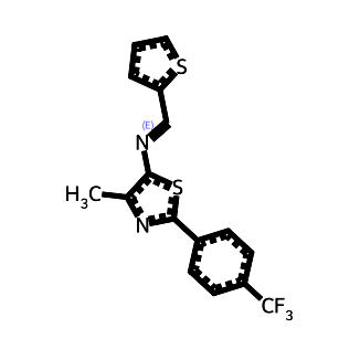 Cc1nc(-c2ccc(C(F)(F)F)cc2)sc1/N=C/c1cccs1